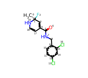 C[C@]1(F)C=C(C(=O)NCc2ccc(Cl)cc2Cl)C=CN1